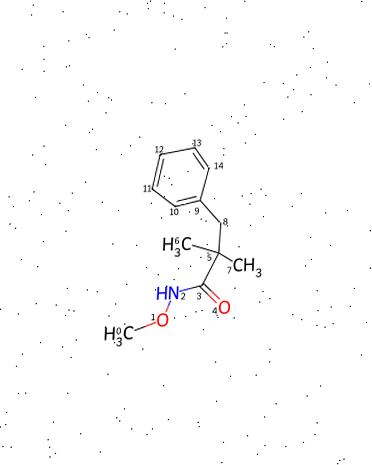 CONC(=O)C(C)(C)Cc1ccccc1